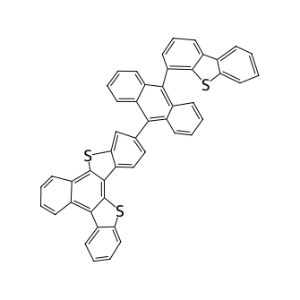 c1ccc2c(c1)sc1c(-c3c4ccccc4c(-c4ccc5c(c4)sc4c6ccccc6c6c7ccccc7sc6c54)c4ccccc34)cccc12